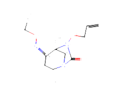 C=CCON1C(=O)N2C[C@H]1/C(=N\OCC(C)=O)C[C@H]2C